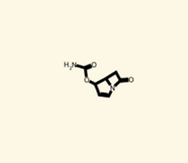 NC(=O)OC1C=CN2C(=O)CC12